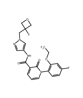 O=C(Nc1cnn(CC2(F)COC2)c1)c1cccn(-c2ccc(F)cc2OCC(F)(F)F)c1=O